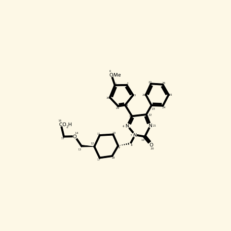 COc1ccc(-c2nn(C[C@H]3CC[C@H](COCC(=O)O)CC3)c(=O)nc2-c2ccccc2)cc1